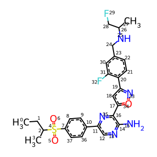 CCC(C)S(=O)(=O)c1ccc(-c2cnc(N)c(-c3cc(-c4ccc(CNC(C)CF)cc4F)no3)n2)cc1